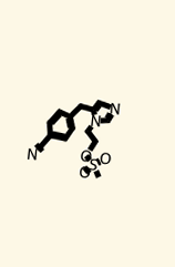 CS(=O)(=O)OCCn1cncc1Cc1ccc(C#N)cc1